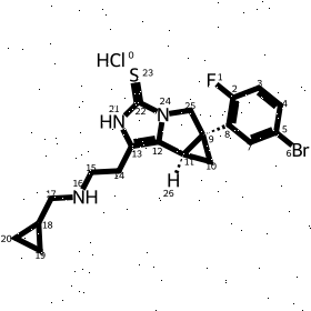 Cl.Fc1ccc(Br)cc1[C@]12C[C@H]1c1c(CCNCC3CC3)[nH]c(=S)n1C2